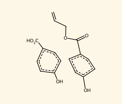 C=CCOC(=O)c1ccc(O)cc1.O=C(O)c1ccc(O)cc1